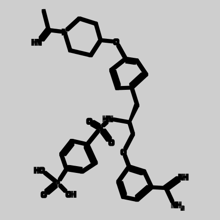 CC(=N)N1CCC(Oc2ccc(C[C@@H](COc3cccc(C(=N)N)c3)NS(=O)(=O)c3ccc(P(=O)(O)O)cc3)cc2)CC1